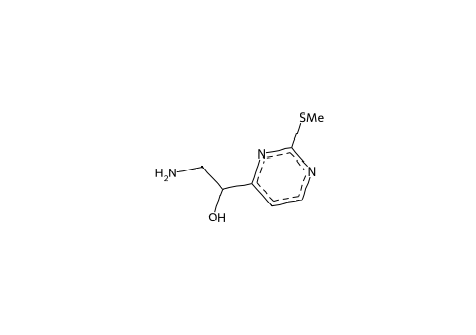 CSc1nccc(C(O)CN)n1